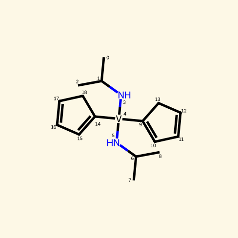 CC(C)[NH][V]([NH]C(C)C)([C]1=CC=CC1)[C]1=CC=CC1